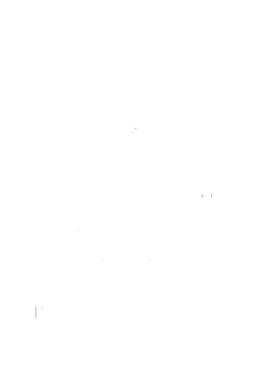 O=C(CBr)OC1CSCCCCO1